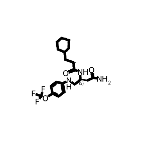 NC(=O)C[C@@H](CNc1ccc(OC(F)(F)F)cc1)NC(=O)[CH]CC1CCCCC1